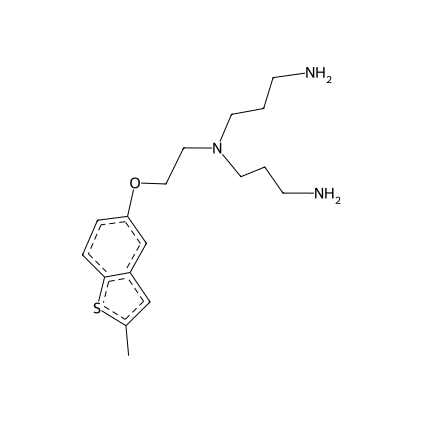 Cc1cc2cc(OCCN(CCCN)CCCN)ccc2s1